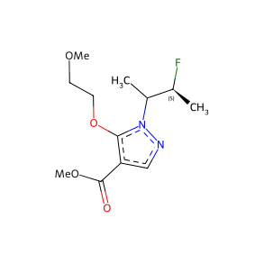 COCCOc1c(C(=O)OC)cnn1C(C)[C@H](C)F